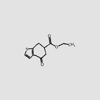 CCOC(=O)C1CC(=O)c2ccsc2C1